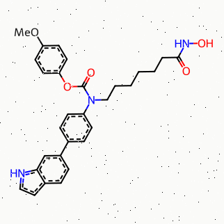 COc1ccc(OC(=O)N(CCCCCCC(=O)NO)c2ccc(-c3ccc4cc[nH]c4c3)cc2)cc1